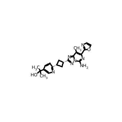 Cc1c(-c2ncco2)nc(N)n2nc([C@H]3C[C@@H](c4ccc(C(C)(C)O)cn4)C3)nc12